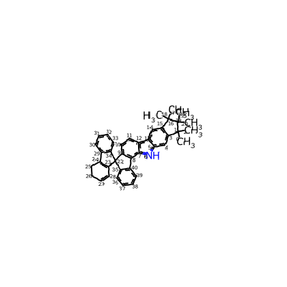 CC1(C)c2cc3[nH]c4c5c(ccc4c3cc2C(C)(C)C1(C)C)C1(C2=C(CCC=C2)c2ccccc21)c1ccccc1-5